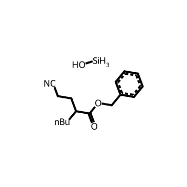 CCCCC(CCC#N)C(=O)OCc1ccccc1.O[SiH3]